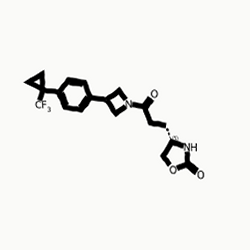 O=C1N[C@@H](CCC(=O)N2CC(c3ccc(C4(C(F)(F)F)CC4)cc3)C2)CO1